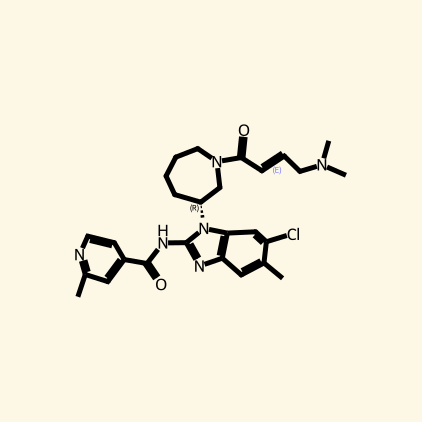 Cc1cc(C(=O)Nc2nc3cc(C)c(Cl)cc3n2[C@@H]2CCCCN(C(=O)/C=C/CN(C)C)C2)ccn1